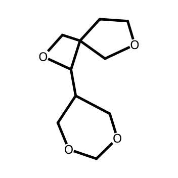 C1CC2(CO1)COC2C1COCOC1